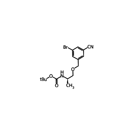 C[C@H](COCc1cc(Br)cc(C#N)c1)NC(=O)OC(C)(C)C